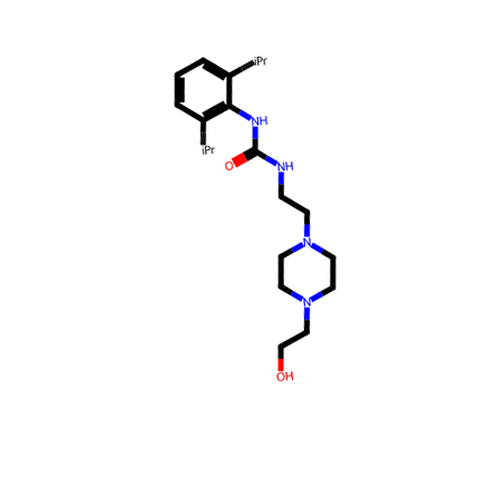 CC(C)c1cccc(C(C)C)c1NC(=O)NCCN1CCN(CCO)CC1